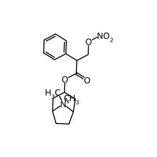 C[N+]1(C)C2CCC1CC(OC(=O)C(CO[N+](=O)[O-])c1ccccc1)C2